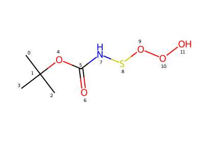 CC(C)(C)OC(=O)NSOOO